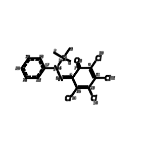 C[Si](C)(C)N(N=C1C(=O)C(Cl)=C(Cl)C(Cl)=C1Cl)c1ccccc1